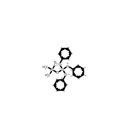 C[Si](C)(C)[O][Zr]([O]c1ccccc1)([O]c1ccccc1)[O]c1ccccc1